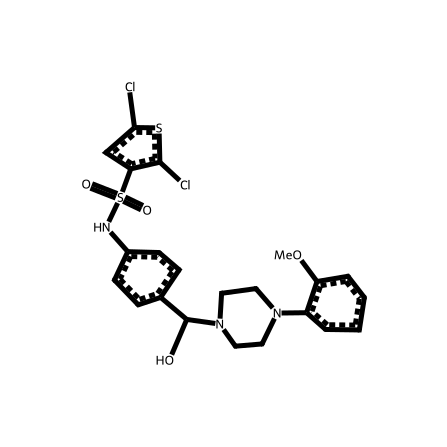 COc1ccccc1N1CCN(C(O)c2ccc(NS(=O)(=O)c3cc(Cl)sc3Cl)cc2)CC1